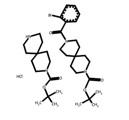 CC(C)(C)OC(=O)N1CCC2(CC1)CCN(C(=O)c1ccccc1Br)CC2.CC(C)(C)OC(=O)N1CCC2(CCNCC2)CC1.Cl